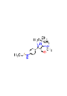 CCSNc1ccc(-c2nn(C(C)(C)C)c(NC)c2C=O)cc1